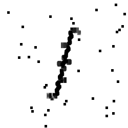 NCCCCNCCCOC(=O)C(=O)OCCCNCCCCN